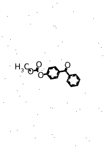 COC(=O)Oc1ccc(C(=O)c2ccccc2)cc1